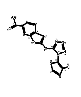 O=C(O)c1ccc2nc(Sc3nnnn3-c3sccc3Cl)sc2c1